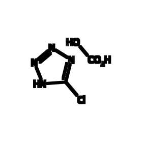 Clc1nnn[nH]1.O=C(O)O